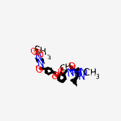 COc1c(CNC(=O)c2cn(C)nc2C2CC2)cccc1OCc1ccc(C(=O)N2CCN(S(C)(=O)=O)CC2)cc1